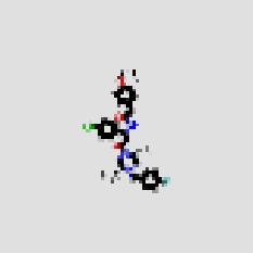 COc1ccc(CC(=O)NC(CC(=O)N2C[C@@H](C)N(Cc3ccc(F)cc3)C[C@@H]2C)c2ccc(Cl)cc2)cc1